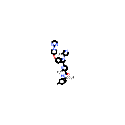 CC1CC2CC(C1)C(NC(=O)c1ccc(-c3cn(-c4ccncc4C(F)(F)F)c4cc(OC5CCN(c6ncccn6)CC5)ccc34)nc1C(F)(F)F)(C(=O)O)C2